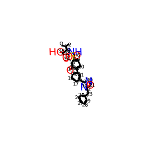 CC(C)[C@H](NS(=O)(=O)c1ccc2c(c1)oc1ccc(-c3noc(Cc4ccccc4)n3)cc12)C(=O)O